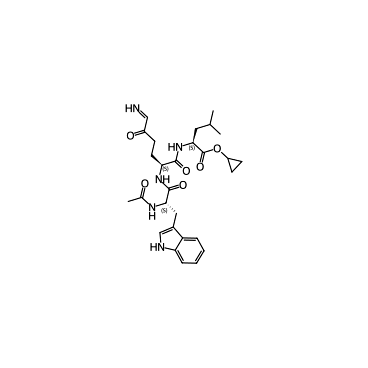 CC(=O)N[C@@H](Cc1c[nH]c2ccccc12)C(=O)N[C@@H](CCC(=O)C=N)C(=O)N[C@@H](CC(C)C)C(=O)OC1CC1